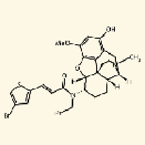 COc1cc(O)c2c3c1O[C@H]1[C@@H](N(CC(C)C)C(=O)/C=C/c4cc(Br)cs4)CC[C@H]4[C@@H](C2)N(C)CC[C@@]341